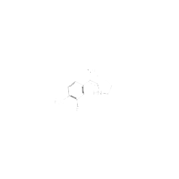 N[C@@H](c1ccc(C(F)(F)F)c(F)c1)[C@@H]1CCCN1